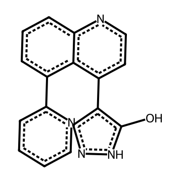 Oc1[nH]ncc1-c1ccnc2cccc(-c3ccccn3)c12